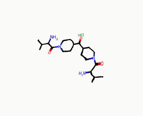 CC(C)C(N)C(=O)N1CCC(C(=O)C2CCN(C(=O)C(N)C(C)C)CC2)CC1.Cl